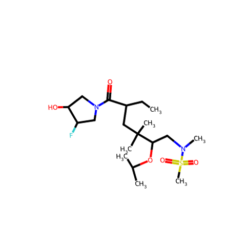 CCC(CC(C)(C)C(CN(C)S(C)(=O)=O)OC(C)C)C(=O)N1CC(O)C(F)C1